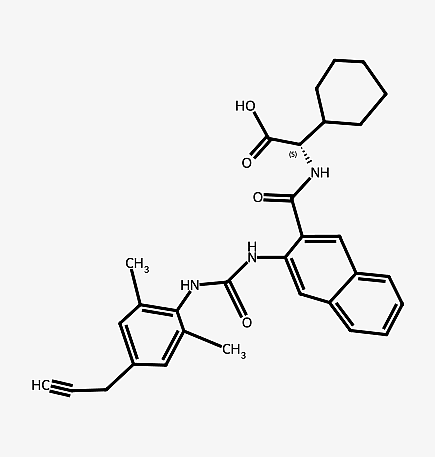 C#CCc1cc(C)c(NC(=O)Nc2cc3ccccc3cc2C(=O)N[C@H](C(=O)O)C2CCCCC2)c(C)c1